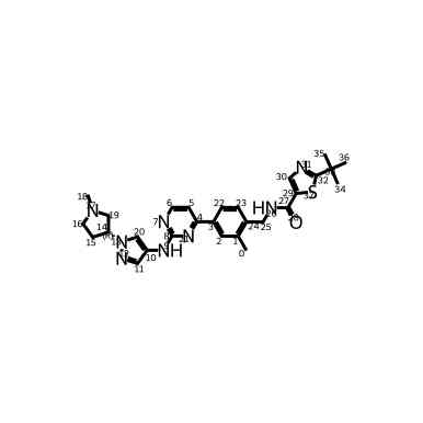 Cc1cc(-c2ccnc(Nc3cnn([C@@H]4CCN(C)C4)c3)n2)ccc1CNC(=O)c1cnc(C(C)(C)C)s1